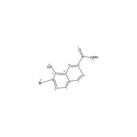 COC(=O)c1ccc2ccc(Br)c(O)c2c1